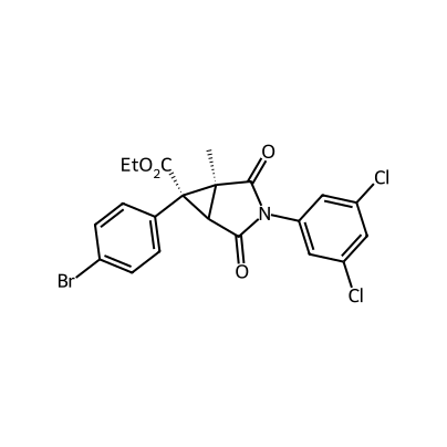 CCOC(=O)[C@@]1(c2ccc(Br)cc2)C2C(=O)N(c3cc(Cl)cc(Cl)c3)C(=O)[C@@]21C